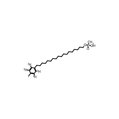 [2H]c1c([2H])c(CCCCCCCCCCCCCCCCCCOP(C)(=O)O)c([2H])c([2H])c1I